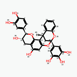 Oc1ccc([C@H]2Oc3c(c(O)cc4c3[C@H]3C[C@](c5cc(O)c(O)c(O)c5)(Oc5ccccc53)O4)C[C@@H]2O)cc1O